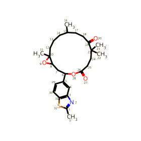 Cc1nc2cc(C3CC4OC4(C)CCCC(C)CCC(=O)C(C)(C)CCC(=O)O3)ccc2s1